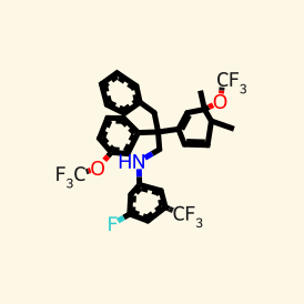 CC1C=CC(C(CNc2cc(F)cc(C(F)(F)F)c2)(Cc2ccccc2)c2cccc(OC(F)(F)F)c2)=CC1(C)OC(F)(F)F